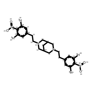 [3H]c1cc(CCN2CC3CC(C2)CN(CCc2cc([3H])c([N+](=O)[O-])c([3H])c2)C3)cc([3H])c1[N+](=O)[O-]